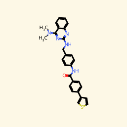 CN(C)c1nc(NCc2ccc(NC(=O)c3ccc(-c4ccsc4)cc3)cc2)nc2ccccc12